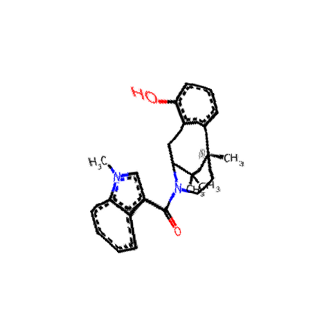 Cn1cc(C(=O)N2CC[C@@]3(C)c4cccc(O)c4CC2C3(C)C)c2ccccc21